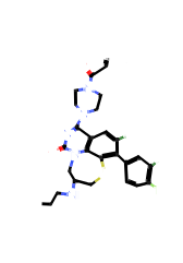 C=CC(=O)N1CCN(c2nc(=O)n3c4c(c(-c5ccc(F)c(Cl)c5)c(Cl)cc24)SCC(NCCC)C3)CC1